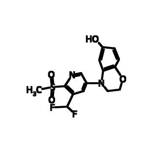 CS(=O)(=O)c1ncc(N2CCOc3ccc(O)cc32)cc1C(F)F